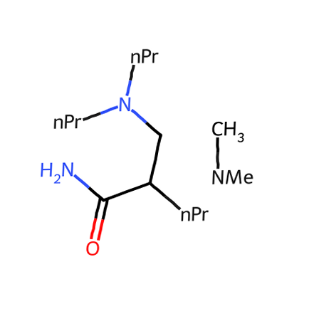 CCCC(CN(CCC)CCC)C(N)=O.CNC